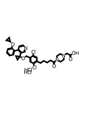 Cl.Cl.O=C(O)CN1CCN(C(=O)CCCCc2cc(Cl)c(COC3(c4cnccc4-c4ccccc4OC4CC4)CC3)cc2Cl)CC1